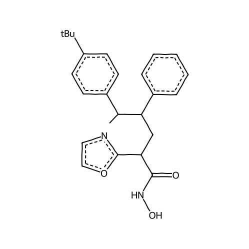 CC(c1ccc(C(C)(C)C)cc1)C(CC(C(=O)NO)c1ncco1)c1ccccc1